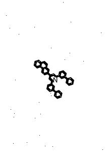 c1ccc(-c2cccc(-c3cc(-c4ccc5c(ccc6ccccc65)c4)cc(-c4cccc(-c5ccccc5)c4)n3)c2)cc1